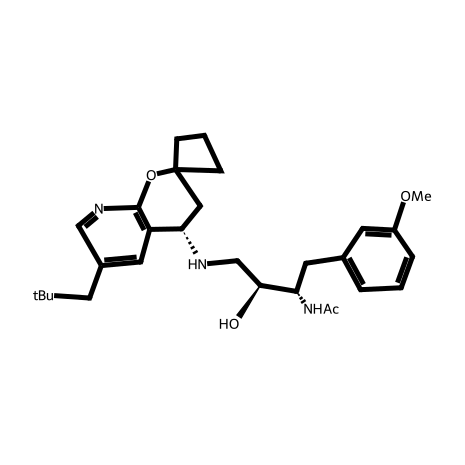 COc1cccc(C[C@H](NC(C)=O)[C@@H](O)CN[C@H]2CC3(CCC3)Oc3ncc(CC(C)(C)C)cc32)c1